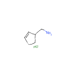 Cl.NCC1C=CCC1